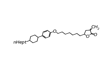 C=C1CC(CCCCCCCOc2ccc(C3CCC(CCCCCCC)CC3)cc2)OC1=O